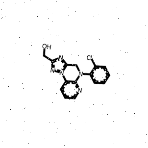 OCc1nc2n(n1)-c1cccnc1N(c1ccccc1Cl)C2